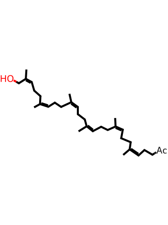 CC(=O)CCC=C(C)CCC=C(C)CCC=C(C)CCC=C(C)CCC=C(C)CCC=C(C)CO